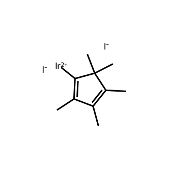 CC1=C(C)C(C)(C)[C]([Ir+2])=C1C.[I-].[I-]